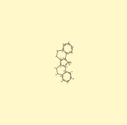 c1ccc2c(c1)CCc1c-2[nH]c2c1CCc1ccccc1-2